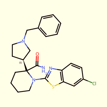 NC(=O)C1([C@H]2CCN(Cc3ccccc3)C2)CCCCN1c1nc2ccc(Cl)cc2s1